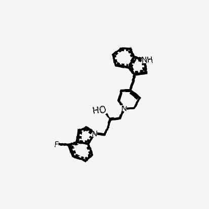 O[C@@H](CN1CC=C(c2c[nH]c3ccccc23)CC1)Cn1ccc2c(F)cccc21